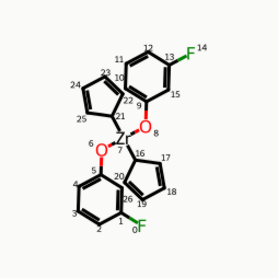 Fc1cccc([O][Zr]([O]c2cccc(F)c2)([CH]2C=CC=C2)[CH]2C=CC=C2)c1